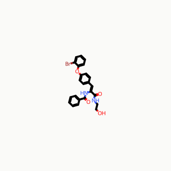 O=C(NCCO)C(=Cc1ccc(Oc2ccccc2Br)cc1)NC(=O)c1ccccc1